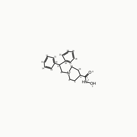 O=C(NO)C1CCN(CC(c2ccccc2)c2ccccc2)CC1